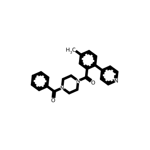 Cc1ccc(-c2ccncc2)c(C(=O)N2CCN(C(=O)c3ccccc3)CC2)c1